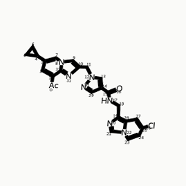 CC(=O)c1cc(C2CC2)cn2cc(Cn3cc(C(=O)NCc4ncn5ccc(Cl)cc45)cn3)nc12